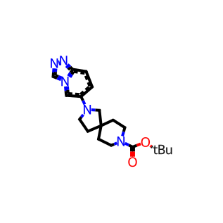 CC(C)(C)OC(=O)N1CCC2(CC1)CCN(c1ccc3nncn3c1)C2